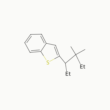 CCC(c1cc2ccccc2s1)C(C)(C)CC